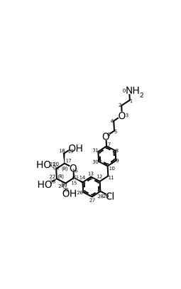 NCCOCCOc1ccc(Cc2cc([C@@H]3O[C@H](CO)[C@@H](O)[C@H](O)[C@H]3O)ccc2Cl)cc1